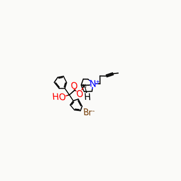 CC#CCC[N+]12CCC(CC1)[C@@H](OC(=O)C(O)(c1ccccc1)c1ccccc1)C2.[Br-]